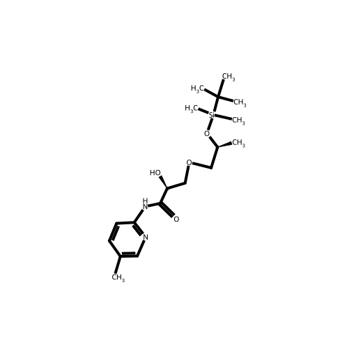 Cc1ccc(NC(=O)[C@@H](O)COC[C@H](C)O[Si](C)(C)C(C)(C)C)nc1